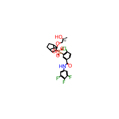 C[C@H](O)COCC1(O)C2CCC1CC(S(=O)(=O)c1cc(C(=O)Nc3cc(F)c(F)c(F)c3)ccc1Cl)C2